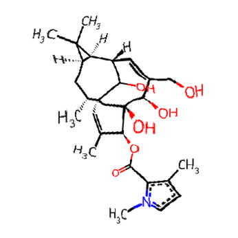 CC1=C[C@]23C(O)[C@@H](C=C(CO)[C@@H](O)[C@]2(O)[C@H]1OC(=O)c1c(C)ccn1C)[C@H]1[C@@H](C[C@H]3C)C1(C)C